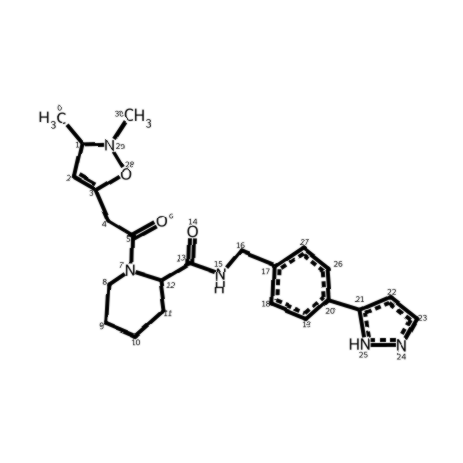 CC1C=C(CC(=O)N2CCCCC2C(=O)NCc2ccc(-c3ccn[nH]3)cc2)ON1C